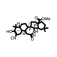 [C-]#[N+]C1=C(O)C(C)(C)[C@@H]2CC[C@]3(C)[C@H](CC(=O)N[C@@H]4[C@@H]5CC(C)(C)CCC5(C(=O)OC)CC[C@]43C)[C@@]2(C)C1